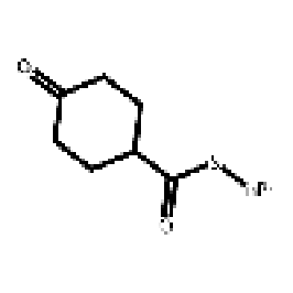 CCCSC(=O)C1CCC(=O)CC1